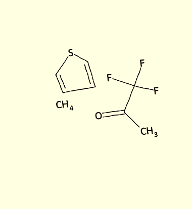 C.CC(=O)C(F)(F)F.c1ccsc1